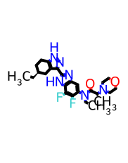 CC[C@H]1CCc2[nH]nc(-c3nc4cc(N(CC)C(=O)[C@H](C)N5CCOCC5)c(F)c(F)c4[nH]3)c2C1